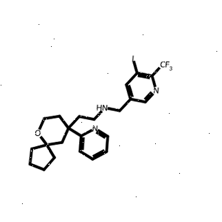 FC(F)(F)c1ncc(CNCCC2(c3ccccn3)CCOC3(CCCC3)C2)cc1I